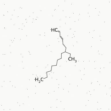 [CH]=CC=CCCC(CC)CCCCCCCC[CH2]